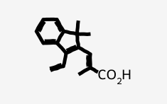 C=CC1=C(/C=C(\C)C(=O)O)C(C)(C)c2ccccc21